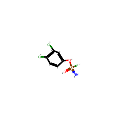 N=S(=O)(F)Oc1ccc(Cl)c(Cl)c1